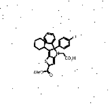 COC(=O)C1C=C2C(=C(C3CCCCC3)C(c3ccccc3)(c3ccc(Cl)cc3)N2CC(=O)O)S1